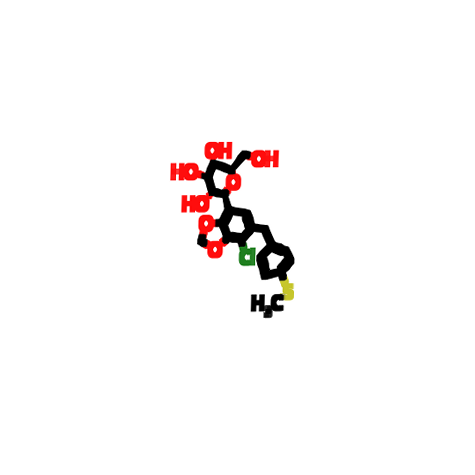 CSc1ccc(Cc2cc([C@@H]3O[C@H](CO)[C@@H](O)[C@H](O)[C@H]3O)c3c(c2Cl)OCO3)cc1